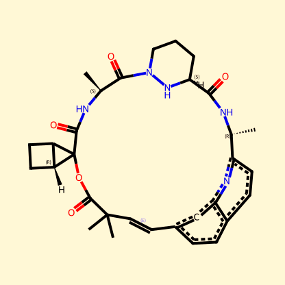 C[C@@H]1NC(=O)C2(OC(=O)C(C)(C)/C=C/c3ccc4ccc(nc4c3)[C@@H](C)NC(=O)[C@@H]3CCCN(N3)C1=O)C1CC[C@H]12